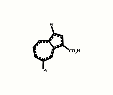 CCc1cc(C(=O)O)c2cc(C(C)C)cccc1-2